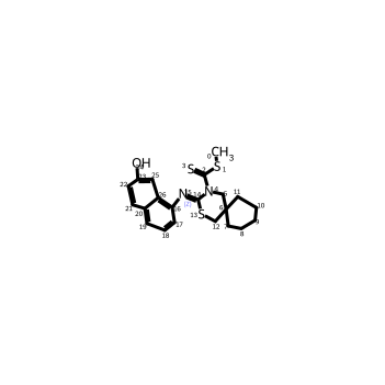 CSC(=S)N1CC2(CCCCC2)CS/C1=N\c1cccc2ccc(O)cc12